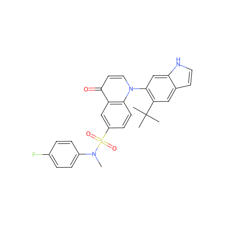 CN(c1ccc(F)cc1)S(=O)(=O)c1ccc2c(c1)c(=O)ccn2-c1cc2[nH]ccc2cc1C(C)(C)C